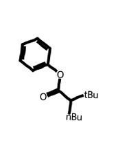 CCCCC(C(=O)Oc1ccccc1)C(C)(C)C